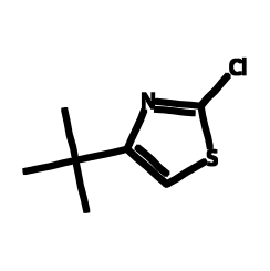 CC(C)(C)c1csc(Cl)n1